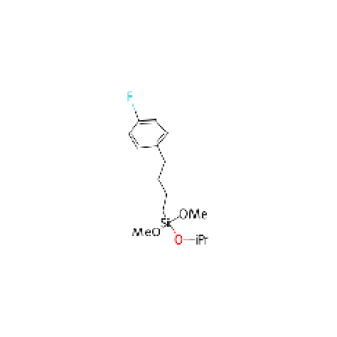 CO[Si](CCCCc1ccc(F)cc1)(OC)OC(C)C